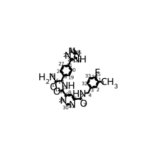 Cc1cc(CNC(=O)c2cc(C(=O)N[C@@H](C(N)=O)c3ccc(-c4nnn[nH]4)cc3)ncn2)ccc1F